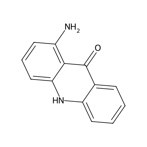 Nc1cccc2[nH]c3ccccc3c(=O)c12